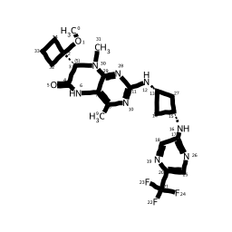 COC1([C@H]2C(=O)Nc3c(C)nc(N[C@H]4C[C@@H](Nc5cnc(C(F)(F)F)cn5)C4)nc3N2C)CCC1